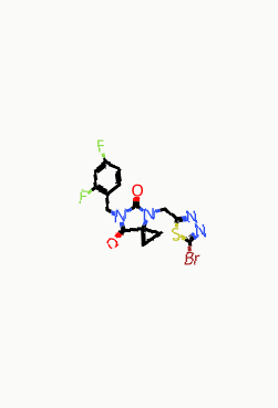 O=C1N(Cc2ccc(F)cc2F)C(=O)C2(CC2)N1Cc1nnc(Br)s1